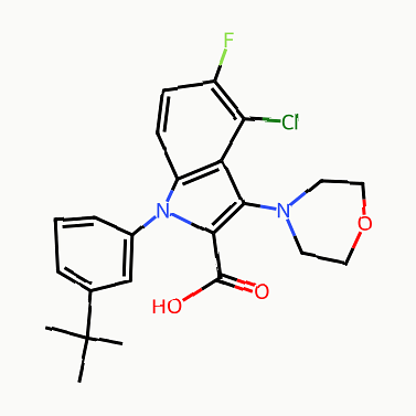 CC(C)(C)c1cccc(-n2c(C(=O)O)c(N3CCOCC3)c3c(Cl)c(F)ccc32)c1